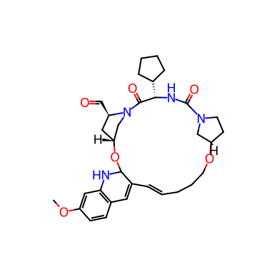 COc1ccc2c(c1)NC1O[C@@H]3C[C@@H](C=O)N(C3)C(=O)[C@H](C3CCCC3)NC(=O)N3CC[C@@H](C3)OCCC/C=C/C1=C2